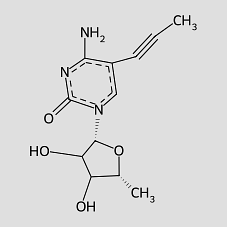 CC#Cc1cn([C@@H]2O[C@H](C)C(O)C2O)c(=O)nc1N